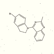 Cc1nc(N2CCc3cc(Br)ccc32)c2ccccc2n1